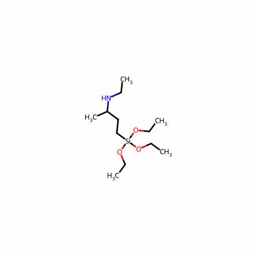 CCNC(C)CC[Si](OCC)(OCC)OCC